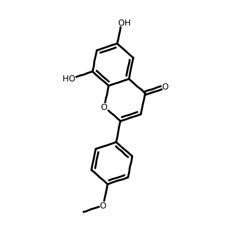 COc1ccc(-c2cc(=O)c3cc(O)cc(O)c3o2)cc1